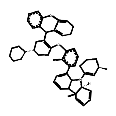 Cc1c(SC2=C(C3C4=CCCC=C4Sc4ccccc43)C[C@@H](C3CCCCC3)CC2)cccc1C1=CC=CC2C1N(C1=C[C@H](C)CCC1)[C@H]1C=CC=CC21C